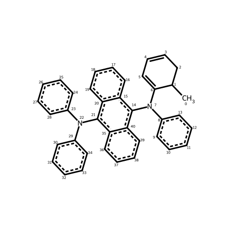 CC1CC=CC=C1N(c1ccccc1)c1c2ccccc2c(N(c2ccccc2)c2ccccc2)c2ccccc12